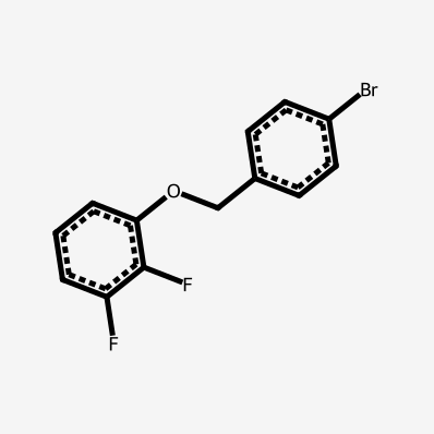 Fc1cccc(OCc2ccc(Br)cc2)c1F